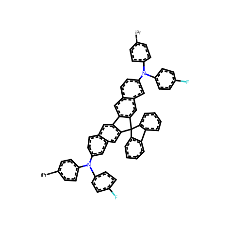 CC(C)c1ccc(N(c2ccc(F)cc2)c2ccc3cc4c(cc3c2)C2(c3ccccc3-c3ccccc32)c2cc3cc(N(c5ccc(F)cc5)c5ccc(C(C)C)cc5)ccc3cc2-4)cc1